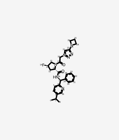 CC(C)c1ccc([C@@H](NC(=O)[C@@H]2C[C@@H](F)CN2C(=O)Cn2cc(N3CCC3)nn2)c2ccccc2)nc1